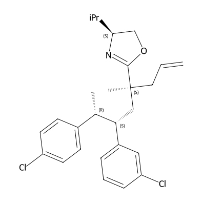 C=CC[C@@](C)(C[C@H](c1cccc(Cl)c1)[C@@H](C)c1ccc(Cl)cc1)C1=N[C@@H](C(C)C)CO1